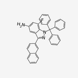 Nc1cc(F)c2c(c1)c(-c1ccc3ccccc3c1)nn2C(c1ccccc1)(c1ccccc1)c1ccccc1